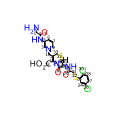 NCC(=O)Nc1ccc[n+](CC2=C(C(=O)O)N3C(=O)[C@H](NC(=O)CSc4cc(Cl)ccc4Cl)[C@H]3SC2)c1